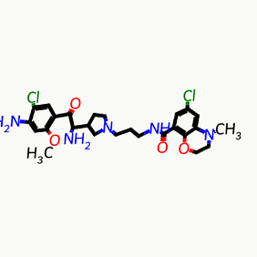 COc1cc(N)c(Cl)cc1C(=O)C(N)C1CCN(CCCNC(=O)c2cc(Cl)cc3c2OCCN3C)C1